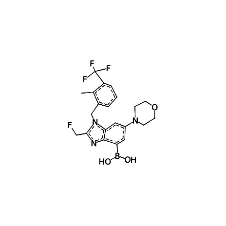 Cc1c(Cn2c(CF)nc3c(B(O)O)cc(N4CCOCC4)cc32)cccc1C(F)(F)F